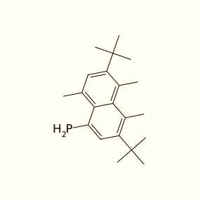 Cc1cc(C(C)(C)C)c(C)c2c(C)c(C(C)(C)C)cc(P)c12